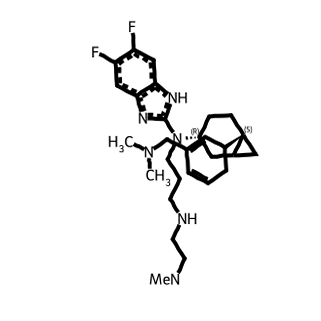 CNCCNCCCN(c1nc2cc(F)c(F)cc2[nH]1)[C@@H]1CC[C@]2(C3C=C(CN(C)C)C=CC3)CC2C1